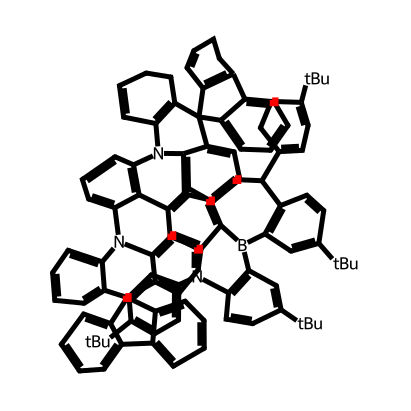 CC(C)(C)C1=CC=C(C2Cc3cc(-c4c(N5C6=C(CCC=C6)C6(C7=C(CCC=C7)c7ccccc76)c6ccccc65)cccc4N4c5ccccc5C5(c6ccccc6-c6ccccc65)c5ccccc54)cc4c3B(c3cc(C(C)(C)C)ccc32)c2cc(C(C)(C)C)ccc2N4c2ccc(C(C)(C)C)cc2)CC1